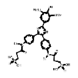 CCN(C(=O)CCP(=O)(O)O)c1ccc(-c2nc(-c3cc(OC)c(O)c(OC)c3)[nH]c2-c2ccc(N(CC)C(=O)CCP(=O)(O)O)cc2)cc1